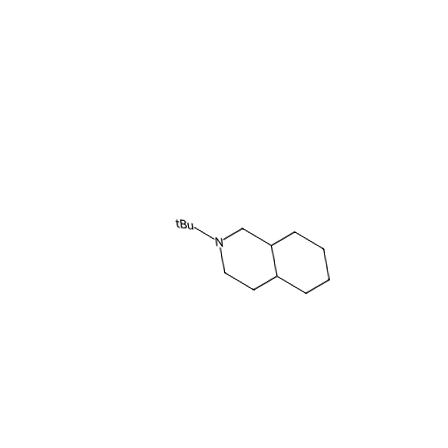 CC(C)(C)N1CCC2CCCCC2C1